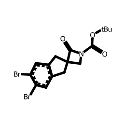 CC(C)(C)OC(=O)N1CC2(Cc3cc(Br)c(Br)cc3C2)C1=O